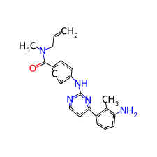 C=CCN(C)C(=O)c1ccc(Nc2nccc(-c3cccc(N)c3C)n2)cc1